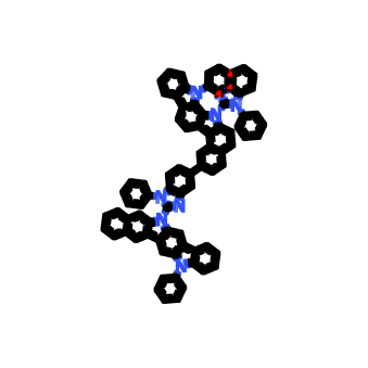 c1ccc(-n2c(-n3c4cc5ccccc5cc4c4cc5c(cc43)c3ccccc3n5-c3ccccc3)nc3cc(-c4ccc5ccc6c(c5c4)c4ccc5c7ccccc7n(-c7ccccc7)c5c4n6-c4nc5ccccc5n4-c4ccccc4)ccc32)cc1